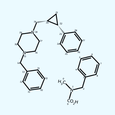 CN(Cc1ccccc1)C(=O)O.c1ccc(CN2CCN(C[C@@H]3C[C@@H]3c3ccccc3)CC2)cc1